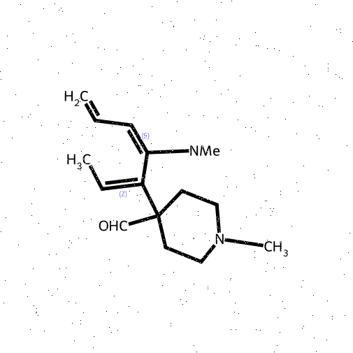 C=C/C=C(NC)\C(=C/C)C1(C=O)CCN(C)CC1